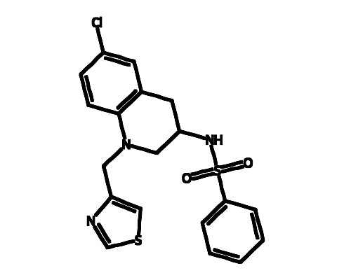 O=S(=O)(NC1Cc2cc(Cl)ccc2N(Cc2cscn2)C1)c1ccccc1